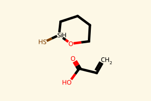 C=CC(=O)O.S[SiH]1CCCCO1